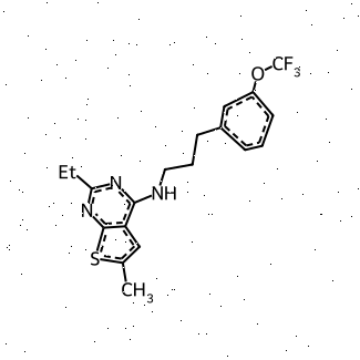 CCc1nc(NCCCc2cccc(OC(F)(F)F)c2)c2cc(C)sc2n1